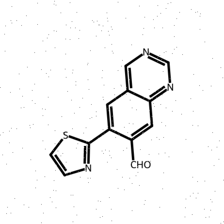 O=Cc1cc2ncncc2cc1-c1nccs1